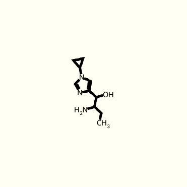 CCC(N)C(O)c1cn(C2CC2)cn1